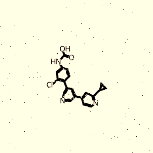 O=C(O)Nc1ccc(-c2cncc(-c3ccnc(C4CC4)c3)c2)c(Cl)c1